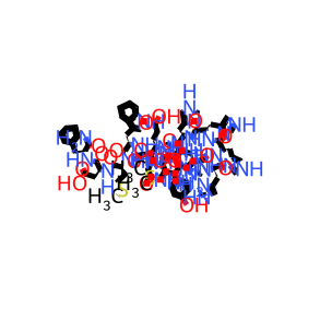 CSCC[C@H](NC(=O)[C@H](Cc1c[nH]c2ccccc12)NC(=O)CNC(=O)[C@H](Cc1ccc(O)cc1)NC(=O)[C@H](C)NC(=O)[C@H](CCC(=O)O)NC(=O)[C@H](Cc1c[nH]cn1)NC(=O)[C@H](Cc1c[nH]cn1)NC(=O)[C@H](Cc1c[nH]cn1)NC(=O)[C@H](Cc1c[nH]cn1)NC(=O)[C@H](Cc1c[nH]cn1)NC(=O)[C@H](Cc1c[nH]cn1)NC(=O)[C@@H](N)CCSC)C(=O)N[C@@H](CC(=O)O)C(=O)N[C@@H](Cc1ccccc1)C(N)=O